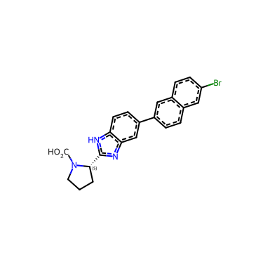 O=C(O)N1CCC[C@H]1c1nc2cc(-c3ccc4cc(Br)ccc4c3)ccc2[nH]1